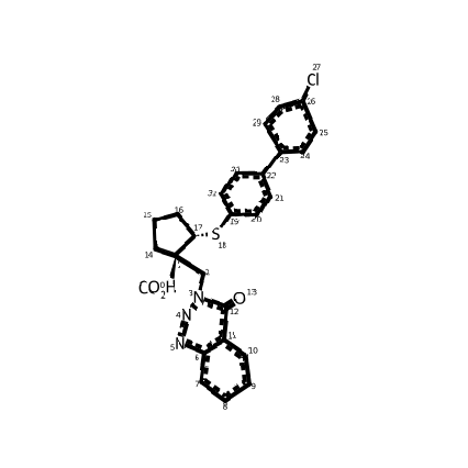 O=C(O)[C@@]1(Cn2nnc3ccccc3c2=O)CCC[C@@H]1Sc1ccc(-c2ccc(Cl)cc2)cc1